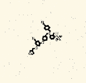 Cc1c(NS(C)(=O)=O)cccc1N(Cc1ccc(C#N)cc1)Cc1ccc(Oc2cc(C#N)cc(OCC3CCOC3)c2)cc1